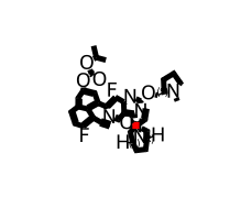 C#Cc1c(F)ccc2cc(OC(=O)OC(C)C)cc(-c3ncc4c(N5C[C@H]6CC[C@@H](C5)N6C(=O)C=C)nc(OC[C@@H]5CCCN5C)nc4c3F)c12